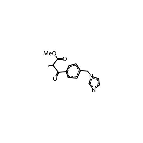 COC(=O)C(C)C(=O)c1ccc(Cn2ccnc2)cc1